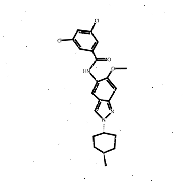 COc1cc2nn([C@H]3CC[C@H](C)CC3)cc2cc1NC(=O)c1cc(Cl)cc(Cl)c1